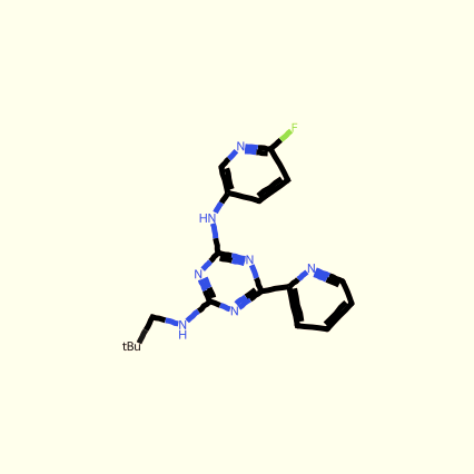 CC(C)(C)CNc1nc(Nc2ccc(F)nc2)nc(-c2ccccn2)n1